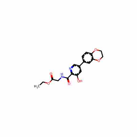 CCOC(=O)CNC(=O)c1ncc(-c2ccc3c(c2)OCCO3)cc1O